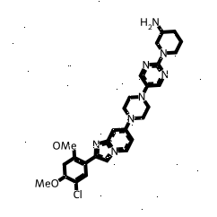 COC1=C(c2cn3ccc(N4CCN(c5cnc(N6CCCC(N)C6)nc5)CC4)cc3n2)C=C(Cl)C(OC)C1